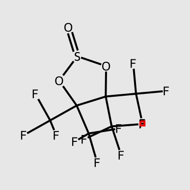 O=S1OC(C(F)(F)F)(C(F)(F)F)C(C(F)(F)F)(C(F)(F)F)O1